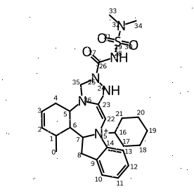 CC1C=CCC2C1C1Cc3ccccc3[N+]1(C1CCCCC1)C=C1NN(C(=O)NS(=O)(=O)N(C)C)CN12